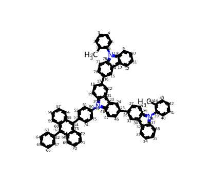 Cc1ccccc1-n1c2ccccc2c2cc(-c3ccc4c(c3)c3cc(-c5ccc6c(c5)c5ccccc5n6-c5ccccc5C)ccc3n4-c3ccc(-c4c5ccccc5c(-c5ccccc5)c5ccccc45)cc3)ccc21